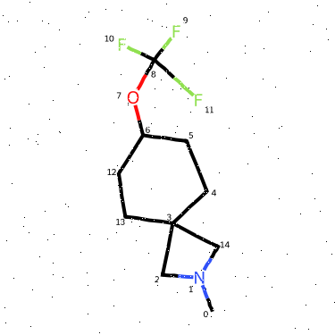 CN1CC2(CCC(OC(F)(F)F)CC2)C1